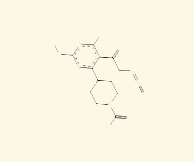 CSc1nc(C)c(C(=O)CN=[N+]=[N-])c(C2CCN(C(=O)O)CC2)n1